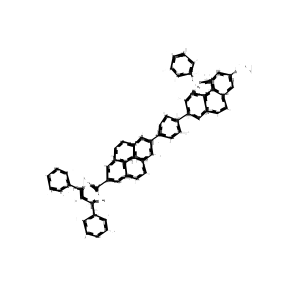 N#Cc1cc2ccc3cc(-c4ccc(-c5cc6ccc7cc(-c8nc(-c9ccccc9)cc(-c9ccccc9)n8)cc8ccc(c5)c6c78)cc4)cc4c3c2c(c1)n4-c1ccccc1